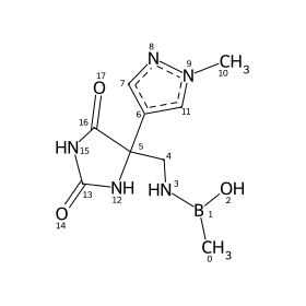 CB(O)NCC1(c2cnn(C)c2)NC(=O)NC1=O